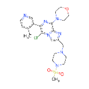 Cc1ccncc1-c1nc(N2CCOCC2)c2nc(CN3CCN(S(C)(=O)=O)CC3)cn2c1Cl